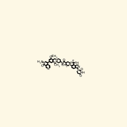 COc1cc(-c2cn(C)c(=O)c3cnccc23)cc(OC)c1CN1CCC(N(C)C(=O)C2CCN(c3ccc4c(N5CCC(=O)NC5=O)n[nH]c4c3C(F)(F)F)CC2)CC1